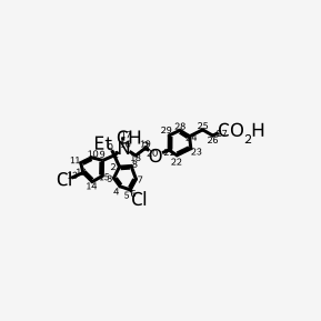 CCC(c1ccc(Cl)cc1)(c1ccc(Cl)cc1)N(C)CCOc1ccc(CCC(=O)O)cc1